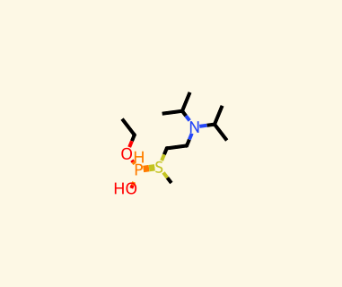 CCO[PH](O)=S(C)CCN(C(C)C)C(C)C